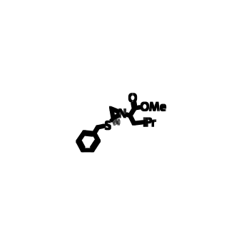 COC(=O)C(CC(C)C)N1C[C@@H]1SCc1ccccc1